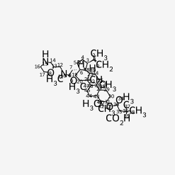 C=C(C)[C@@H]1CC[C@]2(CC(=O)N(C)CC3CNCCO3)CC[C@]3(C)[C@H](CCC4[C@@]5(C)CC[C@H](OC(=O)CC(C)(C)C(=O)O)C(C)(C)C5CC[C@]43C)[C@@H]12